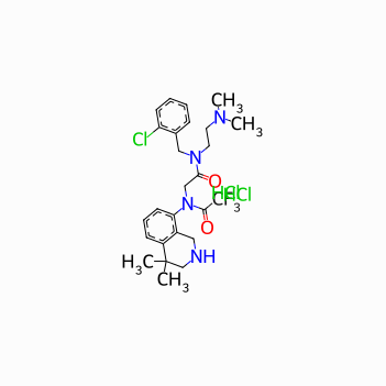 CN(C)CCN(Cc1ccccc1Cl)C(=O)CN(C(=O)C(F)(F)F)c1cccc2c1CNCC2(C)C.Cl.Cl